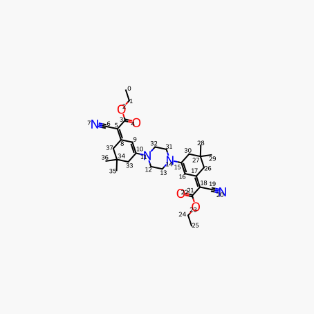 CCOC(=O)/C(C#N)=C1\C=C(N2CCN(C3=C/C(=C(/C#N)C(=O)OCC)CC(C)(C)C3)CC2)CC(C)(C)C1